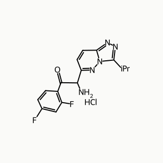 CC(C)c1nnc2ccc(C(N)C(=O)c3ccc(F)cc3F)nn12.Cl